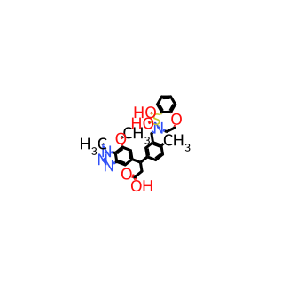 COc1cc(C(CC(=O)O)c2ccc(C)c(CN3CCOc4ccccc4S3(O)O)c2)cc2nnn(C)c12